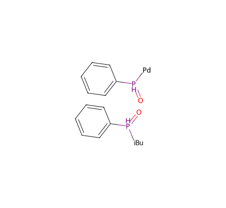 CCC(C)[PH](=O)c1ccccc1.O=[PH]([Pd])c1ccccc1